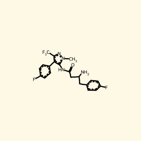 Cn1nc(C(F)(F)F)c(-c2ccc(F)cc2)c1NC(=O)CC(N)Cc1ccc(F)cc1